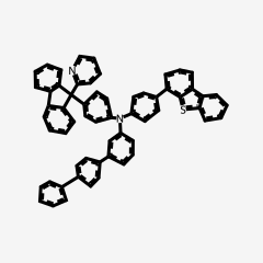 c1ccc(-c2ccc(-c3cccc(N(c4ccc(-c5cccc6c5sc5ccccc56)cc4)c4ccc(C5(c6ccccn6)c6ccccc6-c6ccccc65)cc4)c3)cc2)cc1